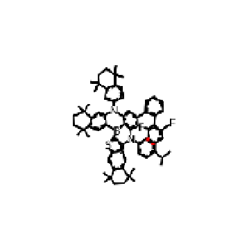 CC(C)c1ccc(N2c3cc(-c4ccccc4-c4c(F)cccc4F)cc4c3B(c3cc5c(cc3N4c3ccc4c(c3)C(C)(C)CCC4(C)C)C(C)(C)CCC5(C)C)c3sc4cc5c(cc4c32)C(C)(C)CCC5(C)C)cc1